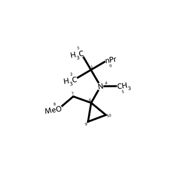 CCCC(C)(C)N(C)C1(COC)CC1